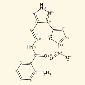 Cc1ccccc1C(=O)N/N=C/c1c[nH]nc1-c1ccc([N+](=O)[O-])o1